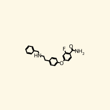 NC(=O)c1ccc(Oc2ccc(CCNCc3ccccc3)cc2)cc1F